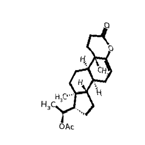 CC(=O)O[C@@H](C)[C@H]1CC[C@H]2[C@@H]3CC=C4OC(=O)CC[C@@]4(C)[C@@H]3CC[C@]12C